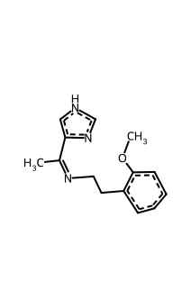 COc1ccccc1CCN=C(C)c1c[nH]cn1